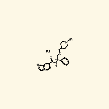 CC(C)N1CCC(COC[C@H](NC(=O)c2ccc3cc[nH]c3c2)c2ccccc2)CC1.Cl